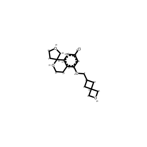 Clc1cc(OCC2CC3(COC3)C2)c2c(n1)C1(CCOC1)OCC2